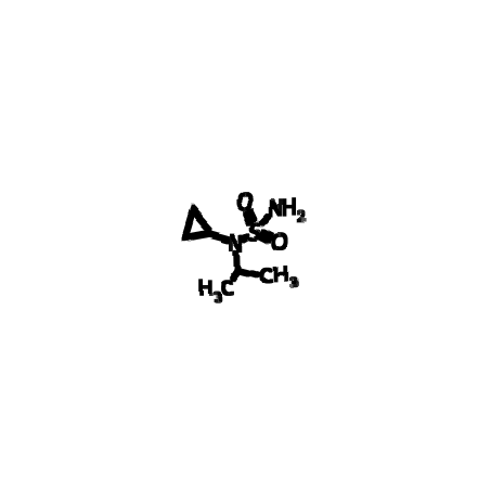 CC(C)N(C1CC1)S(N)(=O)=O